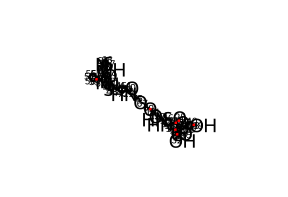 O=C(NCCCOCCOCCOCNC(=S)Nc1ccc2c(c1)C(=O)OC21c2ccc(O)cc2Oc2cc(O)ccc21)c1ccc(-c2csc(N3N=C(c4ccccc4)/C(=N/Nc4nccs4)C3=O)n2)cc1